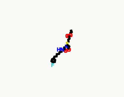 C=CCOC(=O)CCCSC1CC(=O)N1CC(=O)NCCCCCCc1ccc(F)cc1